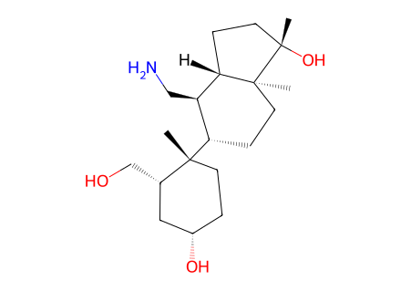 C[C@@]1([C@H]2CC[C@@]3(C)[C@@H](CC[C@]3(C)O)[C@@H]2CN)CC[C@H](O)C[C@@H]1CO